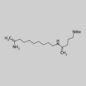 C=C(N)CCCCCCCCNC(=C)CCCNC